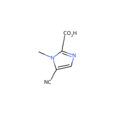 Cn1c(C#N)cnc1C(=O)O